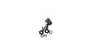 Oc1cccc(Oc2ccc(Cl)cc2NCOc2cnn3cccnc23)c1